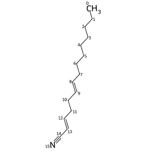 CCCCCCCCC=CCCC=CC#N